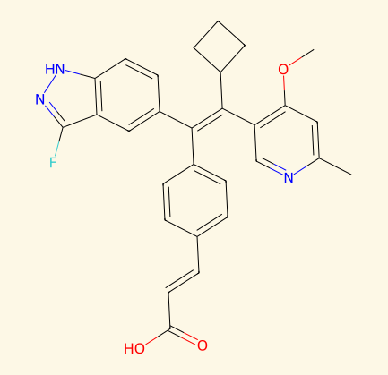 COc1cc(C)ncc1/C(=C(\c1ccc(/C=C/C(=O)O)cc1)c1ccc2[nH]nc(F)c2c1)C1CCC1